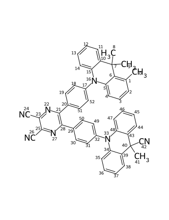 Cc1cccc2c1C(C)(C)c1ccccc1N2c1ccc(-c2nc(C#N)c(C#N)nc2-c2ccc(N3c4ccccc4C(C)(C#N)c4ccccc43)cc2)cc1